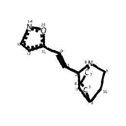 C(=C\C1CC2CCCN1CC2)/c1ccno1